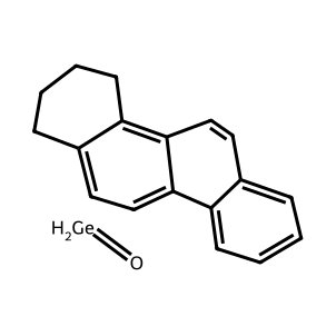 [O]=[GeH2].c1ccc2c(c1)ccc1c3c(ccc12)CCCC3